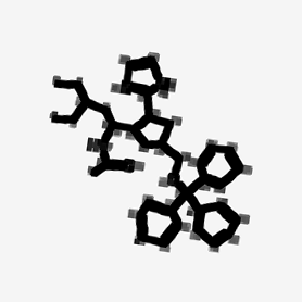 CCC(CC)C[C@H](NC(C)=O)C1CC(COC(c2ccccc2)(c2ccccc2)c2ccccc2)CC1c1ncc[nH]1